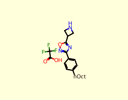 CCCCCCCCc1ccc(-c2noc(C3CNC3)n2)cc1.O=C(O)C(F)(F)F